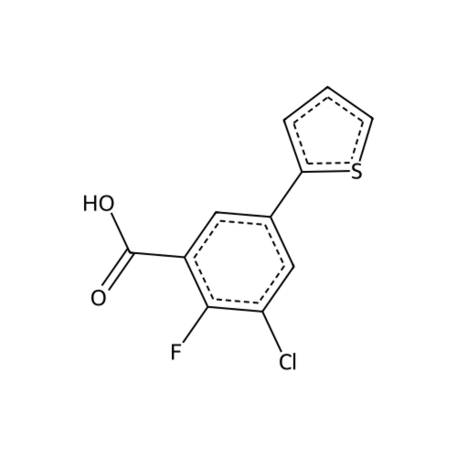 O=C(O)c1cc(-c2cccs2)cc(Cl)c1F